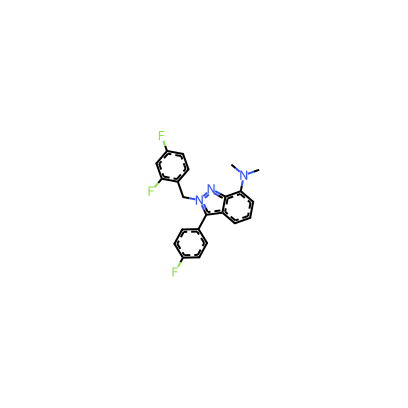 CN(C)c1cccc2c(-c3ccc(F)cc3)n(Cc3ccc(F)cc3F)nc12